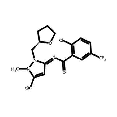 Cn1c(C(C)(C)C)cc(=NC(=O)c2cc(C(F)(F)F)ccc2Cl)n1C[C@H]1CCCO1